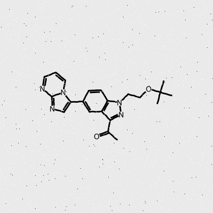 CC(=O)c1nn(CCOC(C)(C)C)c2ccc(-c3cnc4ncccn34)cc12